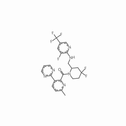 Cc1ccc(-c2ncccn2)c(C(=O)N2CCC(F)(F)CC2CNc2ncc(C(F)(F)F)cc2F)n1